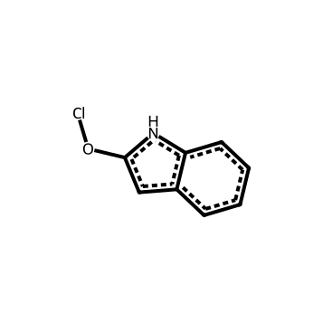 ClOc1cc2ccccc2[nH]1